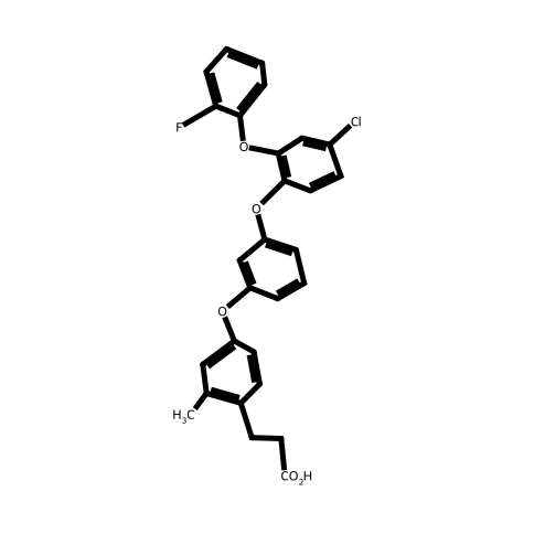 Cc1cc(Oc2cccc(Oc3ccc(Cl)cc3Oc3ccccc3F)c2)ccc1CCC(=O)O